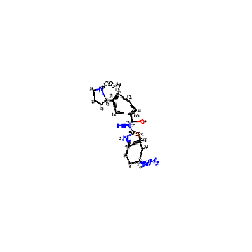 N[C@H]1CCc2nc(NC(=O)c3cccc([C@H]4CCCN4C(=O)O)c3)sc2C1